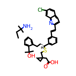 CC(C)(O)c1ccccc1CC[C@@H](SCC1(CC(=O)O)CC1)c1cccc(C=Cc2ccc3ccc(Cl)cc3n2)c1.CCC(C)(C)N